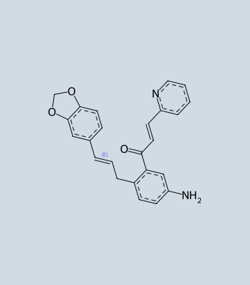 Nc1ccc(C/C=C/c2ccc3c(c2)OCO3)c(C(=O)C=Cc2ccccn2)c1